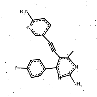 Cc1nc(N)nc(-c2ccc(F)cc2)c1C#Cc1ccc(N)nc1